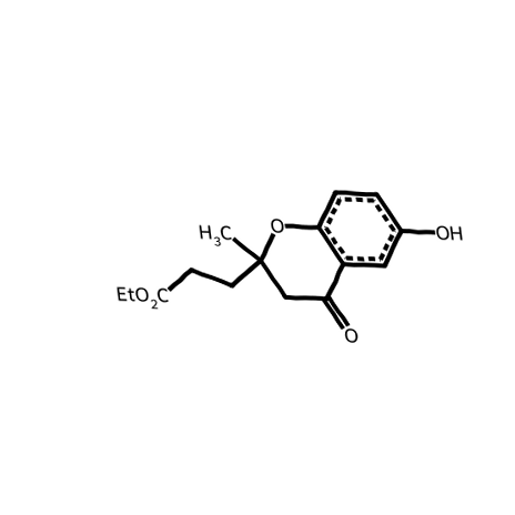 CCOC(=O)CCC1(C)CC(=O)c2cc(O)ccc2O1